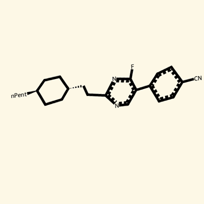 CCCCC[C@H]1CC[C@H](CCc2ncc(-c3ccc(C#N)cc3)c(F)n2)CC1